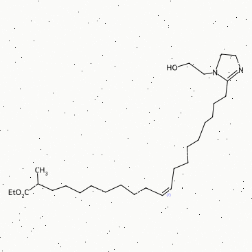 CCOC(=O)C(C)CCCCCCCC/C=C\CCCCCCCCC1=NCCN1CCO